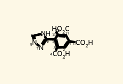 O=C(O)c1cc(C(=O)O)c(-c2nnc[nH]2)c(C(=O)O)c1